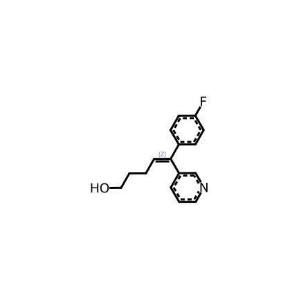 OCCC/C=C(/c1ccc(F)cc1)c1cccnc1